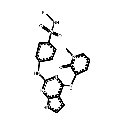 CCNS(=O)(=O)c1ccc(Nc2nc(Nc3cccn(C)c3=O)c3cc[nH]c3n2)cc1